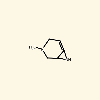 CN1CC=C2NC2C1